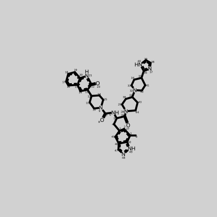 Cc1cc(CC(NC(=O)N2CCC(c3cc4ccccc4[nH]c3=O)CC2)C(=O)N2CCC(N3CCC(c4ncc[nH]4)CC3)CC2)cc2cn[nH]c12